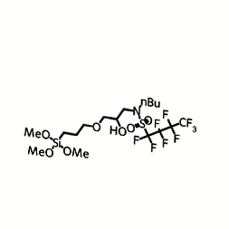 CCCCN(CC(O)COCCC[Si](OC)(OC)OC)S(=O)(=O)C(F)(F)C(F)(F)C(F)(F)C(F)(F)F